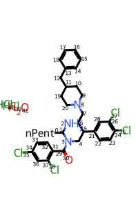 CCCCCC(N)N(CC(CCN1CCC(Cc2ccccc2)CC1)c1ccc(Cl)c(Cl)c1)C(=O)c1ccc(Cl)cc1Cl.Cl.Cl.O